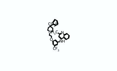 Cc1cc(Nc2cc(OCCN3CCC(C(=O)O)(c4ccccc4)CC3)cc(C(F)(F)F)c2)c2ccccc2n1